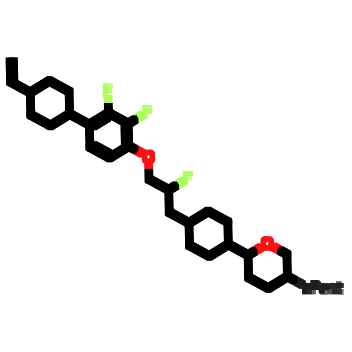 C=CC1CCC(c2ccc(OCC(F)CC3CCC(C4CCC(CCCCC)CO4)CC3)c(F)c2F)CC1